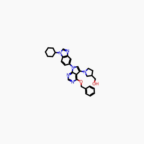 OCC1CCN(c2cn(-c3ccc4c(c3)ncn4C3CCCCC3)c3ncnc(OCc4ccccc4)c23)C1